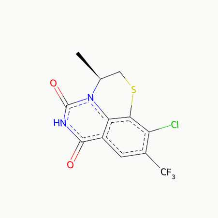 C[C@H]1CSc2c(Cl)c(C(F)(F)F)cc3c(=O)[nH]c(=O)n1c23